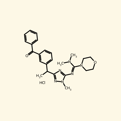 CC(c1cccc(C(=O)c2ccccc2)c1)c1nc(/N=C(\N(C)C)N2CCOCC2)n(C)n1.Cl